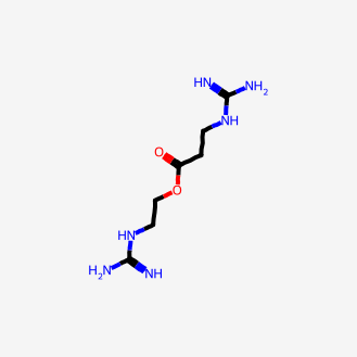 N=C(N)NCCOC(=O)CCNC(=N)N